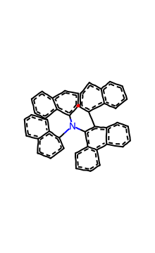 c1ccc2c(-c3c(N(c4cccc5ccccc45)c4cccc5ccccc45)c4ccccc4c4ccccc34)cccc2c1